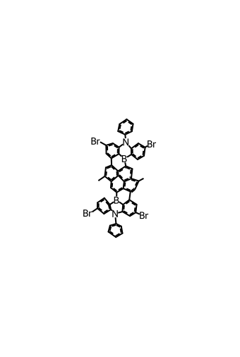 Cc1cc2c3c(cc4c(C)cc5c6c(cc1c3c46)B1c3ccc(Br)cc3N(c3ccccc3)c3cc(Br)cc-5c31)B1c3ccc(Br)cc3N(c3ccccc3)c3cc(Br)cc-2c31